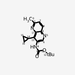 Cc1ccc2ncc(NC(=O)OC(C)(C)C)c(C3CC3)c2n1